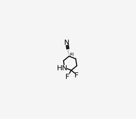 N#C[C@@H]1CCC(F)(F)NC1